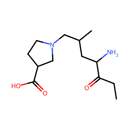 CCC(=O)C(N)CC(C)CN1CCC(C(=O)O)C1